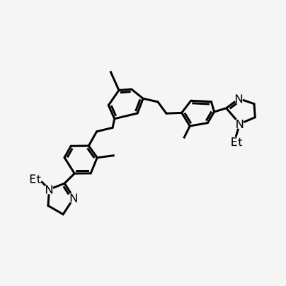 CCN1CCN=C1c1ccc(CCc2cc(C)cc(CCc3ccc(C4=NCCN4CC)cc3C)c2)c(C)c1